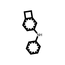 c1ccc(Nc2ccc3c(c2)CC3)cc1